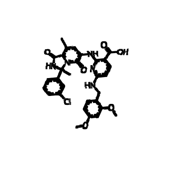 COc1ccc(CNc2ccc(C(=O)O)c(Nc3cc(C)c4n(c3=O)C(C)(c3cccc(Cl)c3)NC4=O)n2)c(OC)c1